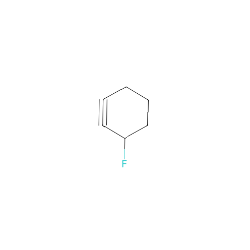 FC1C#CCCC1